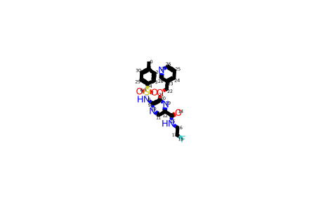 Cc1ccc(S(=O)(=O)Nc2ncc(C(=O)NCCF)nc2OCc2cccnc2)cc1